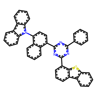 c1ccc(-c2nc(-c3ccc(-n4c5ccccc5c5ccccc54)c4ccccc34)nc(-c3cccc4c3sc3ccccc34)n2)cc1